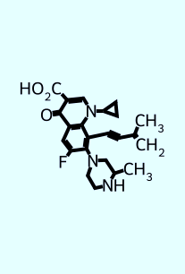 C=C(C)C#Cc1c(N2CCNC(C)C2)c(F)cc2c(=O)c(C(=O)O)cn(C3CC3)c12